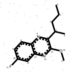 CCCC(C)c1nc2ccc(F)cc2nc1OC